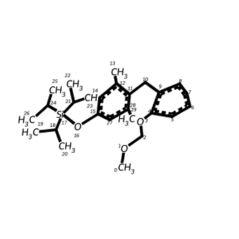 COCOc1ccccc1Cc1c(C)cc(O[Si](C(C)C)(C(C)C)C(C)C)cc1C